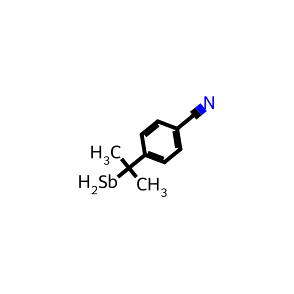 C[C](C)([SbH2])c1ccc(C#N)cc1